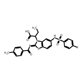 CCC(C(=O)O)n1/c(=N/C(=O)c2ccc(C)cc2)sc2ccc(NS(=O)(=O)c3ccc(F)cc3)cc21